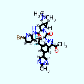 CC(=O)c1nn(CC(=O)N2[C@H](C(=O)Nc3nc(Br)ccc3C)C[C@@]3(CN(C)C)C[C@@H]23)c2c(C(F)CF)cc(-c3cnc(C)nc3)cc12